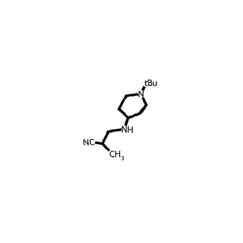 CC(C#N)CNC1CCN(C(C)(C)C)CC1